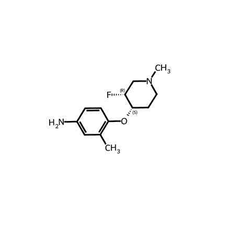 Cc1cc(N)ccc1O[C@H]1CCN(C)C[C@H]1F